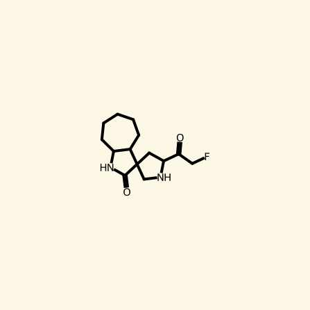 O=C(CF)C1CC2(CN1)C(=O)NC1CCCCCC12